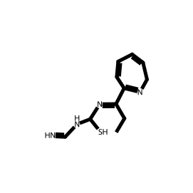 CC/C(=N\C(S)NC=N)C1=NCC=CC=C1